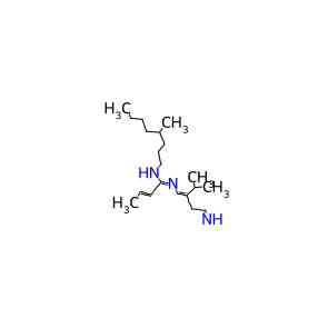 C/C=C/C(=N\C=C(\CC=N)C(C)C)NCCCC(C)CCCC